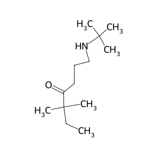 CCC(C)(C)C(=O)CCCNC(C)(C)C